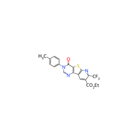 CCOC(=O)c1cc2c(nc1C(F)(F)F)sc1c(=O)n(-c3ccc(C)cc3)cnc12